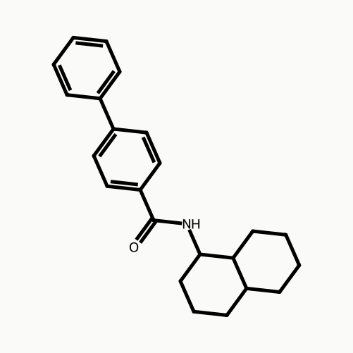 O=C(NC1CCCC2CCCCC21)c1ccc(-c2ccccc2)cc1